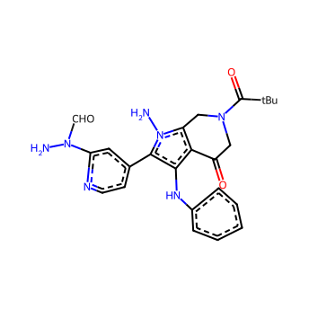 CC(C)(C)C(=O)N1CC(=O)c2c(Nc3ccccc3)c(-c3ccnc(N(N)C=O)c3)n(N)c2C1